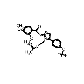 COc1ccc(C(=O)/N=c2\scc(-c3ccc(OC(F)(F)F)cc3)n2CCNC(C)=O)c(OC)c1